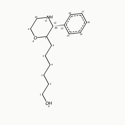 OCCCCCCC1OCCN[C@@H]1c1ccccc1